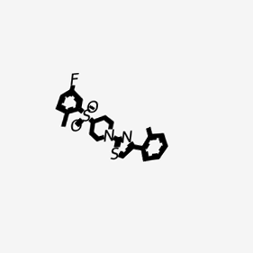 Cc1ccccc1-c1csc(N2CCC(S(=O)(=O)c3cc(F)ccc3C)CC2)n1